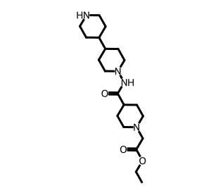 CCOC(=O)CN1CCC(C(=O)NN2CCC(C3CCNCC3)CC2)CC1